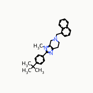 Cn1c(-c2ccc(C(C)(C)C)cc2)nc2c1CN(Cc1cccc3ccccc13)CC2